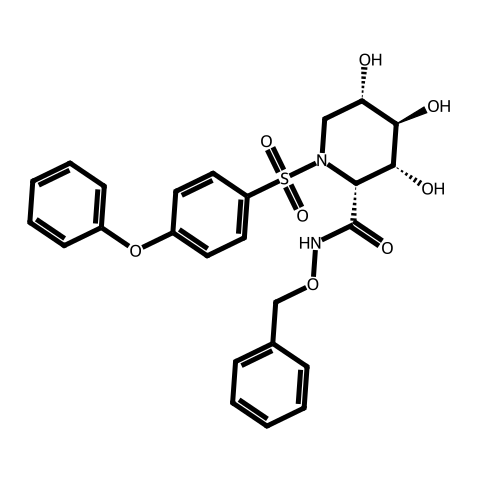 O=C(NOCc1ccccc1)[C@H]1[C@@H](O)[C@H](O)[C@@H](O)CN1S(=O)(=O)c1ccc(Oc2ccccc2)cc1